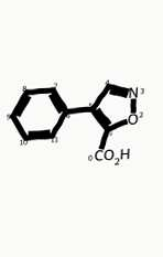 O=C(O)c1oncc1-c1ccccc1